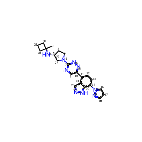 CC1(N[C@@H]2CCN(c3ncc(-c4ccc(-n5cccn5)c5[nH]ncc45)nn3)C2)CCC1